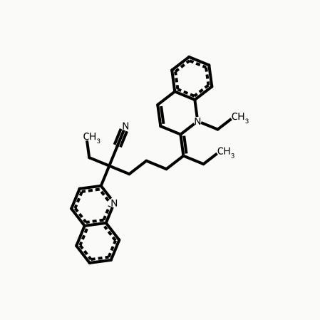 CCC(CCCC(C#N)(CC)c1ccc2ccccc2n1)=C1C=Cc2ccccc2N1CC